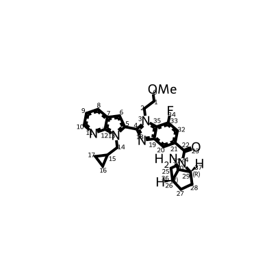 COCCn1c(-c2cc3cccnc3n2CC2CC2)nc2cc(C(=O)N3C[C@H]4CC[C@@H]3C4N)cc(F)c21